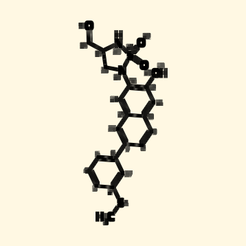 CSc1cccc(-c2ccc3cc(O)c(N4CC(C=O)NS4(=O)=O)cc3c2)c1